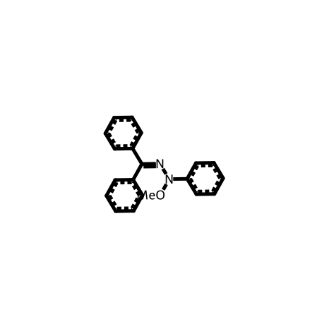 CON(N=C(c1ccccc1)c1ccccc1)c1ccccc1